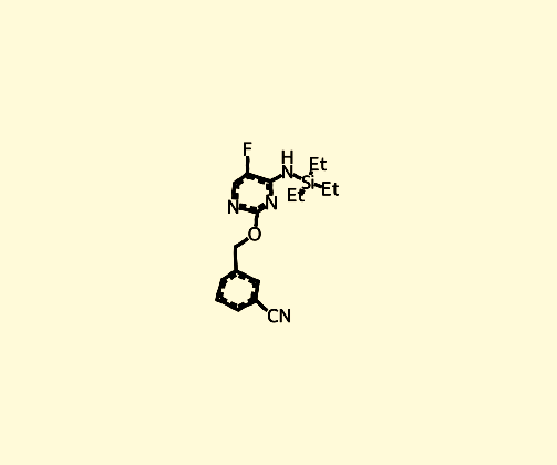 CC[Si](CC)(CC)Nc1nc(OCc2cccc(C#N)c2)ncc1F